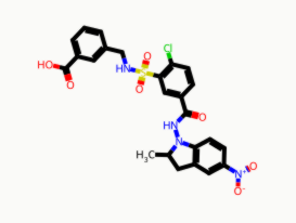 CC1Cc2cc([N+](=O)[O-])ccc2N1NC(=O)c1ccc(Cl)c(S(=O)(=O)NCc2cccc(C(=O)O)c2)c1